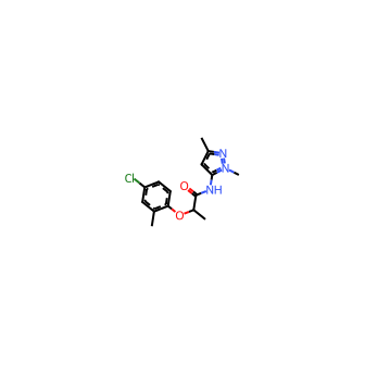 Cc1cc(NC(=O)C(C)Oc2ccc(Cl)cc2C)n(C)n1